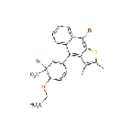 Cc1sc2c(Br)c3ccccc3c(C3=CC(Br)([N+](=O)[O-])C(OCC(=O)O)C=C3)c2c1C